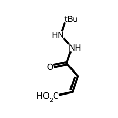 CC(C)(C)NNC(=O)/C=C\C(=O)O